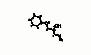 C=CCC(O)COC1CCCCC1